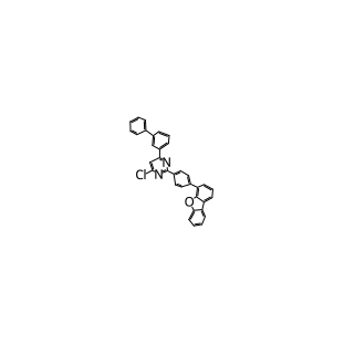 Clc1cc(-c2cccc(-c3ccccc3)c2)nc(-c2ccc(-c3cccc4c3oc3ccccc34)cc2)n1